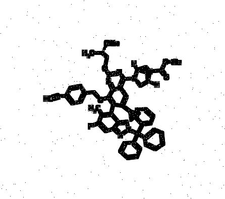 C#Cc1ccc(COc2c(-c3c(C)c(F)cc4nn(C(c5ccccc5)(c5ccccc5)c5ccccc5)cc34)c(C3CC3)cc3c(N4C[C@@H]5C[C@H]4CN5C(=O)OC(C)(C)C)nc(OC[C@H](C)OC)nc23)cc1